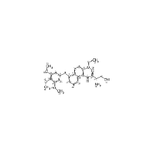 CCOc1ccc2c(Cc3cc(OC)c(OC)c(OC)c3)cncc2c1NC(=O)[C@@H](N)CO